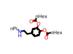 CCCCCCC(=O)Oc1ccc(CCNCCC)cc1OC(=O)CCCCCC